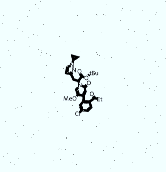 CCC(=O)c1ccc(Cl)cc1-c1cc(=O)n(C(Cc2ccn(C3CC3)n2)C(=O)OC(C)(C)C)cc1OC